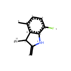 C=C1Nc2c(F)ccc(C)c2C1C(C)C